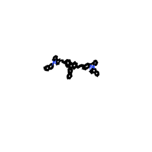 C(=C\c1ccc2c(c1)c1ccccc1n2-c1ccc2ccccc2c1)/c1ccc2c(c1)C1(Cc3ccccc3C1)c1cc(/C=C/c3ccc4c(c3)c3ccccc3n4-c3ccc4ccccc4c3)ccc1-2